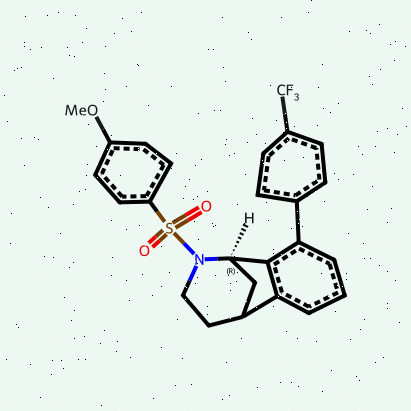 COc1ccc(S(=O)(=O)N2CCC3C[C@@H]2c2c(-c4ccc(C(F)(F)F)cc4)cccc23)cc1